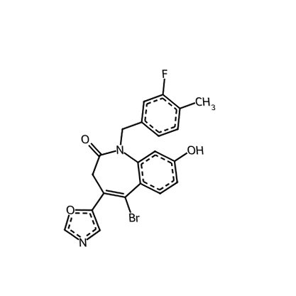 Cc1ccc(CN2C(=O)CC(c3cnco3)=C(Br)c3ccc(O)cc32)cc1F